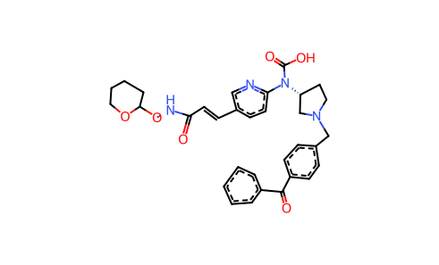 O=C(/C=C/c1ccc(N(C(=O)O)[C@@H]2CCN(Cc3ccc(C(=O)c4ccccc4)cc3)C2)nc1)NOC1CCCCO1